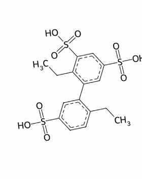 CCc1ccc(S(=O)(=O)O)cc1-c1cc(S(=O)(=O)O)cc(S(=O)(=O)O)c1CC